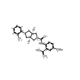 C=C(O)c1cc(OC)ccc1NC(=O)N1C[C@H]2C[C@@H](c3ccccc3C(F)(F)F)C[C@H]2C1